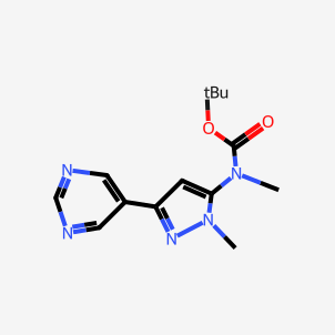 CN(C(=O)OC(C)(C)C)c1cc(-c2cncnc2)nn1C